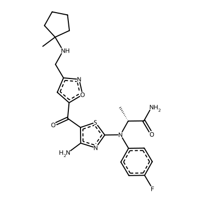 C[C@H](C(N)=O)N(c1ccc(F)cc1)c1nc(N)c(C(=O)c2cc(CNC3(C)CCCC3)no2)s1